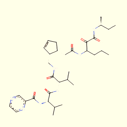 CCCC(NC(=O)C[C@H]1CC=C[C@H]1CNC(=O)[C@@H](NC(=O)[C@H](NC(=O)c1cnccn1)C(C)C)C(C)C)C(=O)C(=O)N[C@@H](C)CC